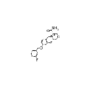 NC(=O)[C@@H]1COCCN1Cc1ccc(OCc2cccc(F)c2)cc1F